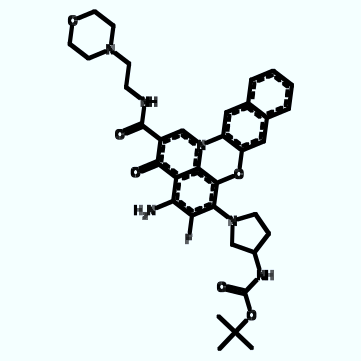 CC(C)(C)OC(=O)NC1CCN(c2c(F)c(N)c3c(=O)c(C(=O)NCCN4CCOCC4)cn4c3c2Oc2cc3ccccc3cc2-4)C1